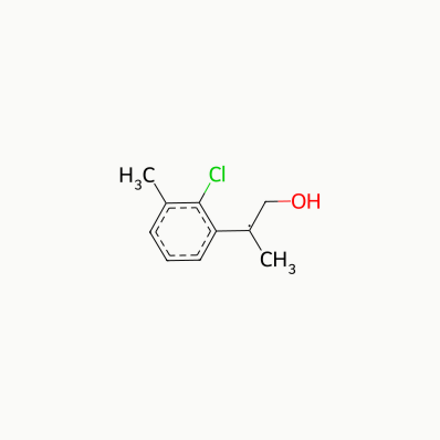 C[C](CO)c1cccc(C)c1Cl